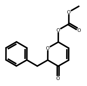 COC(=O)OC1C=CC(=O)C(Cc2ccccc2)O1